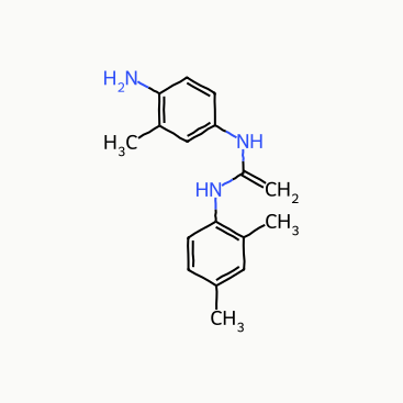 C=C(Nc1ccc(N)c(C)c1)Nc1ccc(C)cc1C